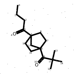 CCCC(=O)C12CCC(C(=O)C(C)(C)C)(CC1)C2